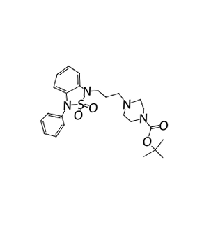 CC(C)(C)OC(=O)N1CCN(CCCN2c3ccccc3N(c3ccccc3)S2(=O)=O)CC1